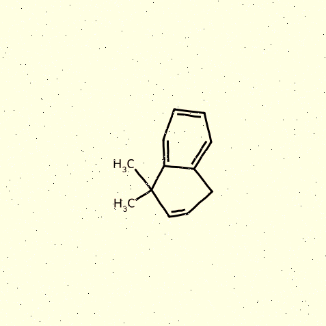 CC1(C)C=CCc2ccccc21